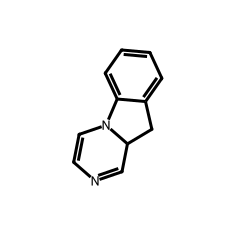 C1=CN2c3ccccc3CC2C=N1